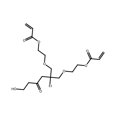 C=CC(=O)OCCOCC(CC)(COCCOC(=O)C=C)CC(=O)CCO